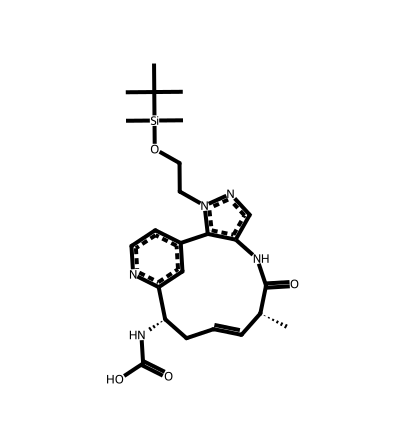 C[C@@H]1/C=C/C[C@H](NC(=O)O)c2cc(ccn2)-c2c(cnn2CCO[Si](C)(C)C(C)(C)C)NC1=O